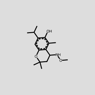 CONC1CC(C)(C)Oc2cc(C(C)C)c(O)c(C)c21